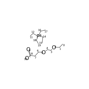 CCOCCOCCC(=O)[O-].CC[P+](CC)(CC)CC